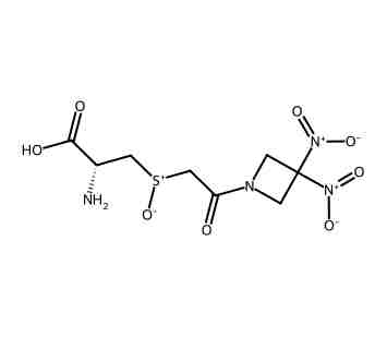 N[C@@H](C[S+]([O-])CC(=O)N1CC([N+](=O)[O-])([N+](=O)[O-])C1)C(=O)O